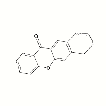 O=c1c2ccccc2oc2cc3c(cc12)C=CCC3